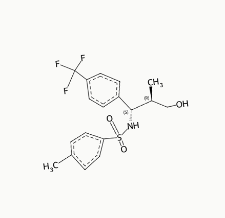 Cc1ccc(S(=O)(=O)N[C@H](c2ccc(C(F)(F)F)cc2)[C@@H](C)CO)cc1